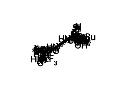 Cc1ncsc1-c1ccc(C(CC(=O)NCCCCCCCNC(=O)c2ccc(-c3ccc(N4C[C@@H](C)N(C)[C@@H](C)C4)c(NC(=O)c4c[nH]c(=O)cc4C(F)(F)F)c3)c(F)c2)NC(=O)[C@@H]2C[C@@H](O)CN2C(=O)C(NC(=O)C2(F)CC2)C(C)(C)C)cc1